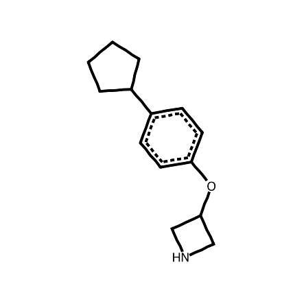 c1cc(C2CCCC2)ccc1OC1CNC1